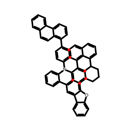 c1ccc(N(c2ccc(-c3cccc4c3ccc3ccccc34)cc2)c2ccccc2-c2cccc3cccc(C4CCCCC4)c23)c(-c2ccc3oc4ccccc4c3c2)c1